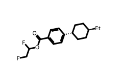 CC[C@H]1CC[C@H](c2ccc(C(=O)OC(F)CF)cc2)CC1